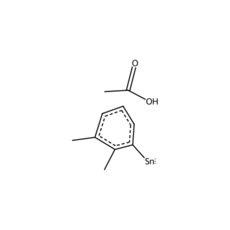 CC(=O)O.Cc1ccc[c]([Sn])c1C